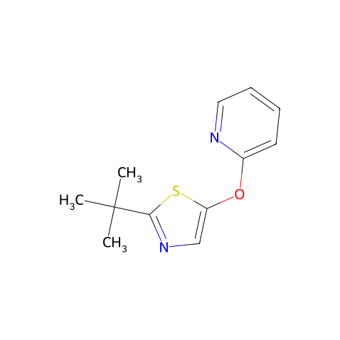 CC(C)(C)c1ncc(Oc2ccccn2)s1